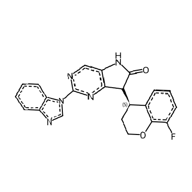 O=C1Nc2cnc(-n3cnc4ccccc43)nc2C1[C@@H]1CCOc2c(F)cccc21